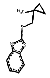 CC1(CSc2nc3ccccc3s2)CC1